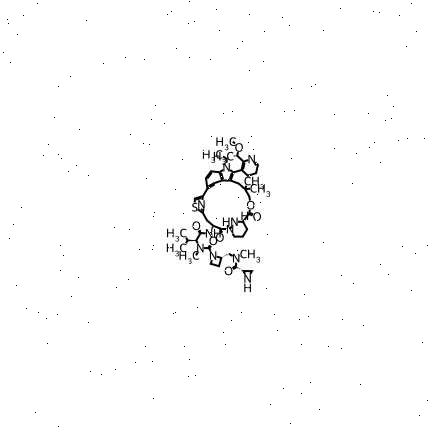 CCn1c(C2=C([C@H](C)OC)N=CCC2)c2c3cc(ccc31)-c1csc(n1)C[C@H](NC(=O)[C@H](C(C)C)N(C)C(=O)N1CC[C@H]1CN(C)C(=O)[C@@H]1CN1)C(=O)N1CCC[C@H](N1)C(=O)OCC(C)(C)C2